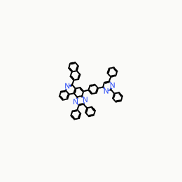 c1ccc(-c2cc(-c3ccc(-c4cc5c(-c6ccc7ccccc7c6)nc6ccccc6c5c5nc(-c6ccccc6)c(-c6ccccc6)nc45)cc3)nc(-c3ccccc3)n2)cc1